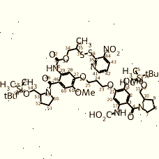 COc1cc(C(=O)N2CCCC2CO[Si](C)(C)C(C)(C)C)c(NC(=O)O)cc1OCCCOc1cc(NC(=O)OCC(C)SSc2ncccc2[N+](=O)[O-])c(C(=O)N2CCCC2CO[Si](C)(C)C(C)(C)C)cc1OC